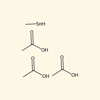 CC(=O)O.CC(=O)O.CC(=O)O.[CH3][SnH]